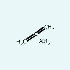 C=C=C.[AlH3]